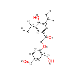 CCC(C)c1cc(C(=O)COc2ccc(C=O)cc2CO)cc(C(C)CC)c1O